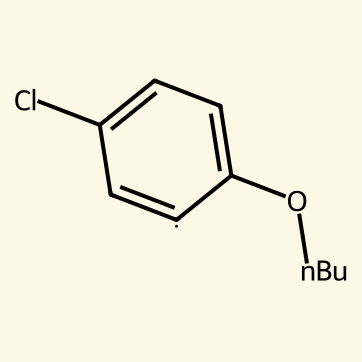 CCCCOc1[c]cc(Cl)cc1